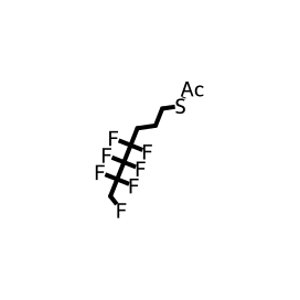 CC(=O)SCCCC(F)(F)C(F)(F)C(F)(F)CF